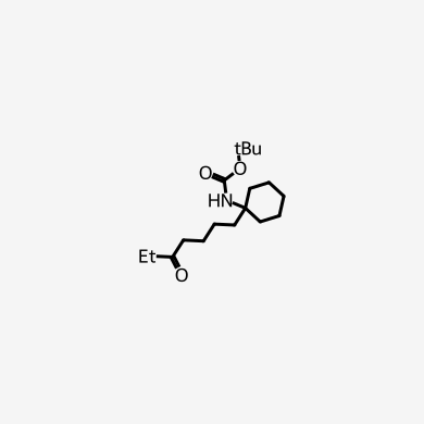 CCC(=O)CCCCC1(NC(=O)OC(C)(C)C)CCCCC1